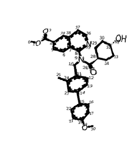 COC(=O)c1ccc2c(N(Cc3ccc(-c4ccc(OC)cc4)cc3C)C(=O)[C@H]3CC[C@H](O)CC3)nccc2c1